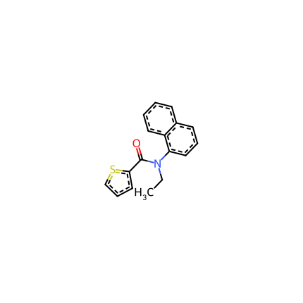 CCN(C(=O)c1cccs1)c1cccc2ccccc12